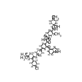 Cc1cc(S(=O)(=O)NC(=O)c2ccc(N3CCN(CC4=C(c5ccc(Cl)cc5)CC(C)(C)CC4)CC3)cc2Oc2cccc3[nH]ccc23)ccc1NCC1(O)CCN(C)CC1